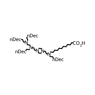 CCCCCCCCCCCCN(CCCCCCCCCCCC)CCN(CCCCCCCCCCCC)CCN1CCN(CCN(CCCCCCCCCCCC)CCCCCCCCCCCC(=O)O)CC1